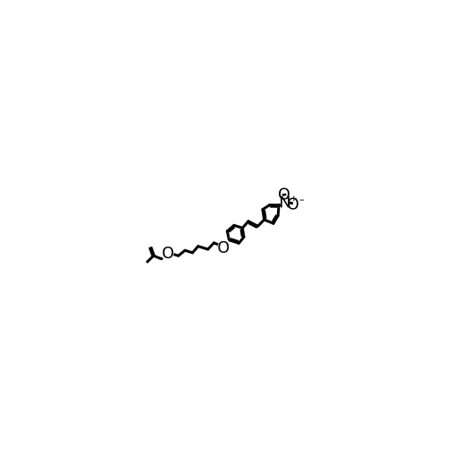 C=C(C)COCCCCCCOc1ccc(/C=C/c2ccc([N+](=O)[O-])cc2)cc1